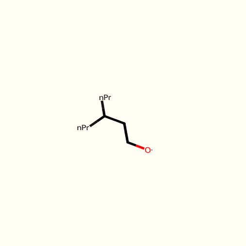 CCCC(CCC)CC[O]